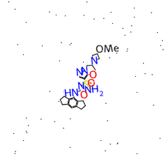 COC1CN(C2COc3c(S(N)(=O)=NC(=O)Nc4c5c(cc6c4[C@@H](C)CC6)CCC5)cnn3C2)C1